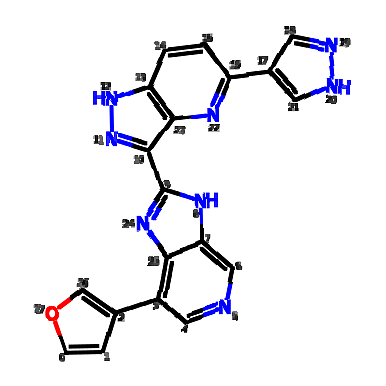 c1cc(-c2cncc3[nH]c(-c4n[nH]c5ccc(-c6cn[nH]c6)nc45)nc23)co1